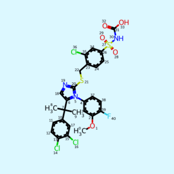 COc1cc(-n2c(C(C)(C)c3ccc(Cl)c(Cl)c3)cnc2SCc2ccc(S(=O)(=O)NC(=O)O)cc2Cl)ccc1F